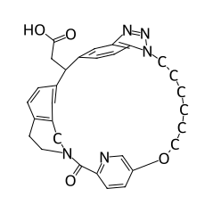 O=C(O)CC1c2ccc3c(c2)CN(CC3)C(=O)c2ccc(cn2)OCCCCCCn2nnc3cc1ccc32